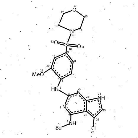 CCC(C)Nc1nc(Nc2ccc(S(=O)(=O)N3CCOCC3)cc2OC)nc2[nH]cc(Cl)c12